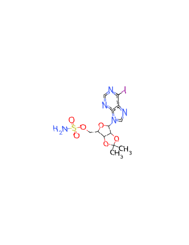 CC1(C)OC2C(COS(N)(=O)=O)OC(n3cnc4c(I)ncnc43)C2O1